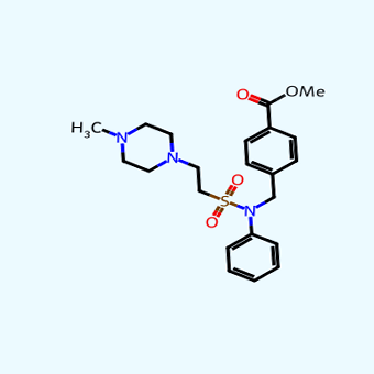 COC(=O)c1ccc(CN(c2ccccc2)S(=O)(=O)CCN2CCN(C)CC2)cc1